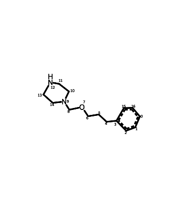 c1ccc(CCCOCN2CCNCC2)cc1